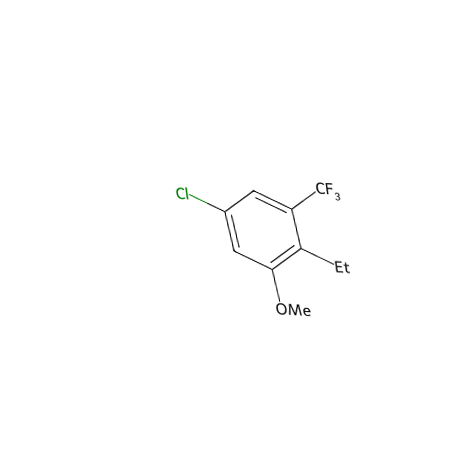 CCc1c(OC)cc(Cl)cc1C(F)(F)F